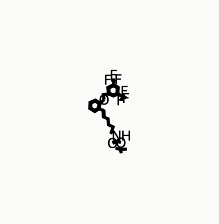 CC(C)(C)OC(=O)NCCCCC=Cc1ccccc1OCc1cc(C(F)(F)F)cc(C(F)(F)F)c1